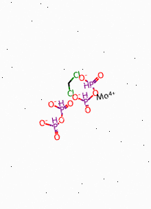 ClCCl.O=[PH]([O-])O[PH](=O)[O-].O=[PH]([O-])O[PH](=O)[O-].[Mo+4]